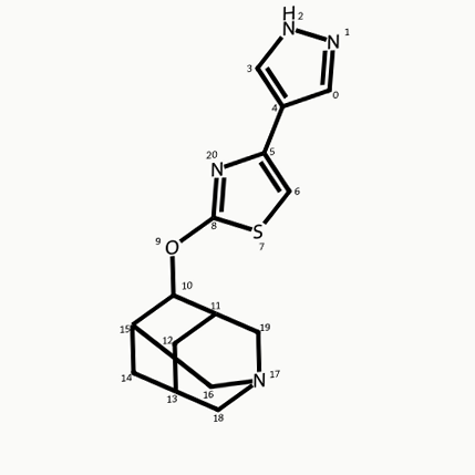 c1n[nH]cc1-c1csc(OC2C3CC4CC2CN(C4)C3)n1